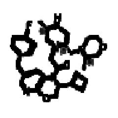 C[C@@H]1CN(CC(=O)N2c3cc(Cc4ccc(F)cc4)cnc3OCC2C2CCC2)[C@@H](CN2CCOC[C@H]2C)CN1